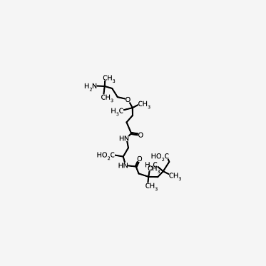 CC(C)(N)CCOC(C)(C)CCC(=O)NCC(NC(=O)CC(C)(C)CC(C)(C)CC(=O)O)C(=O)O